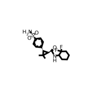 CC1(C)[C@H](C(=O)NC2CCCCC2(F)F)[C@H]1c1ccc(S(N)(=O)=O)cc1